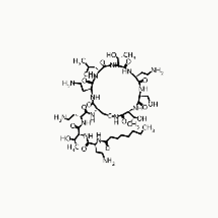 CCCCCCCC(=O)N[C@@H](CCN)C(=O)N[C@H](C(=O)N[C@H](CCN)C(=O)N[C@H]1CCNC(=O)[C@H]([C@@H](C)O)NC(=O)[C@H](CO)NC(=O)[C@H](CCN)NC(=O)[C@H]([C@@H](C)O)NC(=O)[C@@H](CC(C)C)NC(=O)[C@H](CCN)NC1=O)[C@@H](C)O